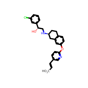 O=C(O)/C=C/c1ccc(Oc2ccc3c(c2)C[C@@H](NC[C@H](O)c2cccc(Cl)c2)CC3)nc1